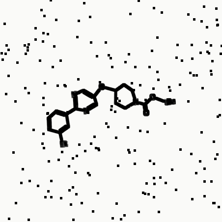 CCc1cccc(-c2ncc(OC3CCN(C(=O)OC(C)(C)C)CC3)cn2)c1